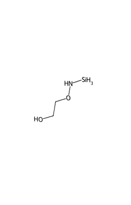 OCCON[SiH3]